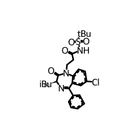 CC[C@H](C)C1N=C(c2ccccc2)c2cc(Cl)ccc2N(CCC(=O)NS(=O)(=O)C(C)(C)C)C1=O